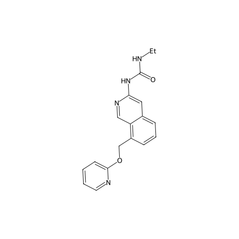 CCNC(=O)Nc1cc2cccc(COc3ccccn3)c2cn1